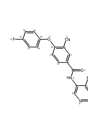 N#Cc1cc(C(=O)Nc2cncnc2N)ccc1Oc1ccc(F)cc1